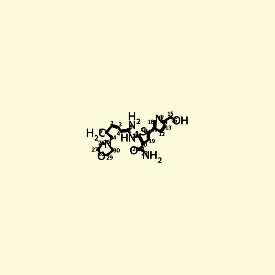 C=C(/C=C\C=C(/N)Nc1sc(-c2ccc(CO)nc2)cc1C(N)=O)CN1CCOCC1